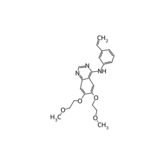 C=Cc1cccc(Nc2ncnc3cc(OCCOC)c(OCCOC)cc23)c1